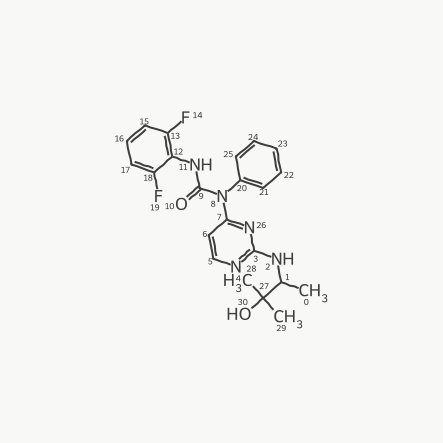 CC(Nc1nccc(N(C(=O)Nc2c(F)cccc2F)c2ccccc2)n1)C(C)(C)O